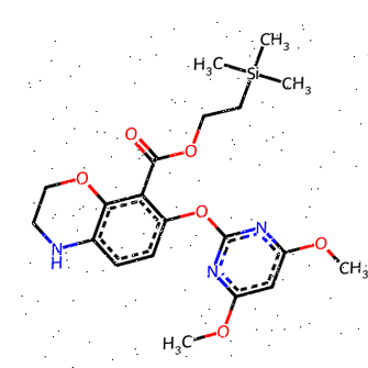 COc1cc(OC)nc(Oc2ccc3c(c2C(=O)OCC[Si](C)(C)C)OCCN3)n1